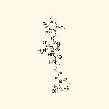 Cc1cc(F)c(COc2nsc(NC(=O)NCCCCN3CCCCC3CO)c2C(N)=O)c(F)c1F